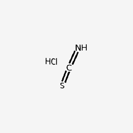 Cl.N=C=S